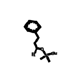 CC[C@@H](CCc1ccccc1)O[Si](C)(C)C(C)(C)C